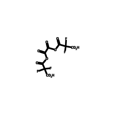 O=C(OC(=O)C(F)(F)C(=O)O)C(=O)OC(=O)C(F)(F)C(=O)O